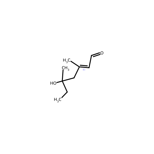 CCC(C)(O)C/C(C)=C/C=O